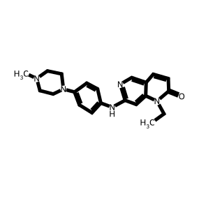 CCn1c(=O)ccc2cnc(Nc3ccc(N4CCN(C)CC4)cc3)cc21